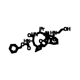 CC(C)[C@@H]1NC(=O)[C@@H](NC(=O)OCc2ccccc2)Cc2ccc3c(c2)[C@@]2(c4ccccc4NC2O3)c2oc1nc2C(=O)NCCO